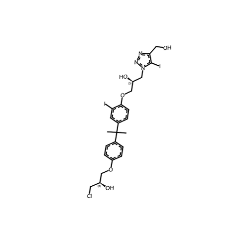 CC(C)(c1ccc(OC[C@@H](O)CCl)cc1)c1ccc(OC[C@@H](O)Cn2nnc(CO)c2I)c(I)c1